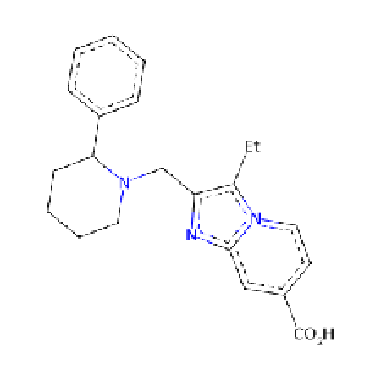 CCc1c(CN2CCCCC2c2ccccc2)nc2cc(C(=O)O)ccn12